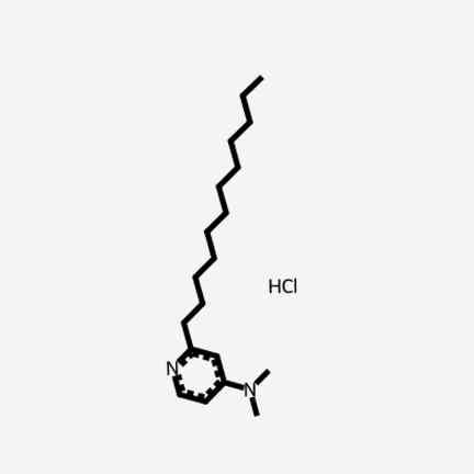 CCCCCCCCCCCCc1cc(N(C)C)ccn1.Cl